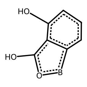 Oc1cccc2boc(O)c12